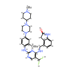 CCCCN1CCC(N2CCN(c3ccc(Nc4ncc(C(F)F)c(NCc5cccc6c5CC(=O)N6)n4)c(OC)c3)CC2)CC1